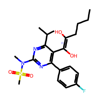 CCCC/C(O)=C(\O)c1c(-c2ccc(F)cc2)nc(N(C)S(C)(=O)=O)nc1C(C)C